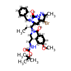 CC[C@H](c1cc2c(Br)c(C)nn2c(=O)n1Cc1ccccc1)N(CCCNC(=O)OC(C)(C)C)C(=O)c1ccc(OC)cc1